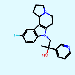 CC(O)(Cn1c2c(c3cc(F)ccc31)C1CCCN1CC2)c1cccnc1